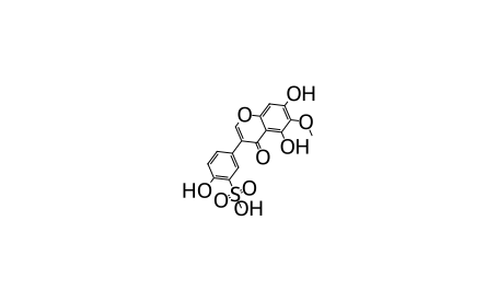 COc1c(O)cc2occ(-c3ccc(O)c(S(=O)(=O)O)c3)c(=O)c2c1O